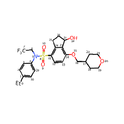 CCc1ccc(N(CC(F)(F)F)S(=O)(=O)c2ccc(OCC3CCOCC3)c3c2CCC3O)cc1